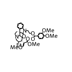 CC[C@H]1CN2CC[C@]3(C(=O)N(CCOC(=O)c4ccc(OC)c(OC)c4)c4ccccc43)C2C[C@@H]1/C(=C\OC)C(=O)OC